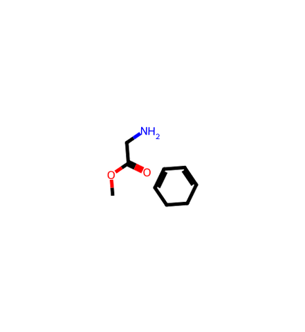 C1=CCCC=C1.COC(=O)CN